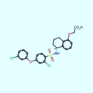 O=C(O)COc1cccc2c1CCC[C@H]2NS(=O)(=O)c1ccc(Oc2cccc(Cl)c2)cc1Cl